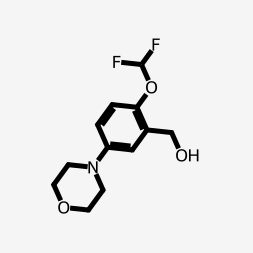 OCc1cc(N2CCOCC2)ccc1OC(F)F